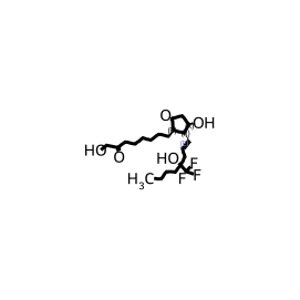 CCCCC(O)(C/C=C/[C@H]1[C@H](O)CC(=O)[C@@H]1CCCCCCC(=O)CO)C(F)(F)F